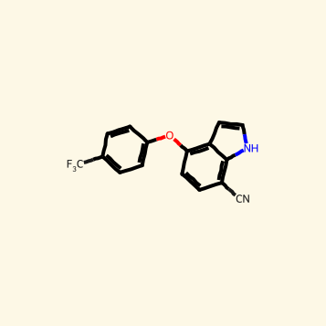 N#Cc1ccc(Oc2ccc(C(F)(F)F)cc2)c2cc[nH]c12